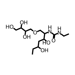 CCNC(=O)NC(COCC(O)C(O)CO)C(O)CC(O)CC